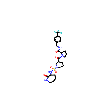 O=C1NCCCCC1NS(=O)(=O)N1CCC[C@H](C(=O)N2CCC[C@@H]2C(=O)NCc2ccc(C(F)(F)F)cc2)C1